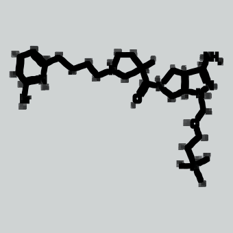 CC1(C(=O)N2Cc3c(N)nn(COCC[Si](C)(C)C)c3C2)CCN(CCCCc2cccc(Br)n2)C1